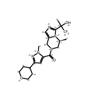 C[C@H]1CN(C(=O)c2cc(C3CCOCC3)nn2C)Cc2cnc(C(C)(O)C(F)(F)F)n21